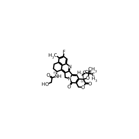 CC[C@@]1(OC(C)(C)C)C(=O)OCc2c1cc1n(c2=O)Cc2c-1nc1cc(F)c(C)c3c1c2[C@@H](NC(=O)CO)CC3